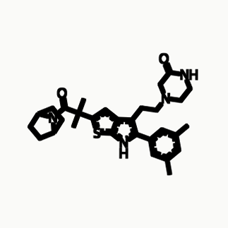 Cc1cc(C)cc(-c2[nH]c3sc(C(C)(C)C(=O)N4C5CCC4CC5)cc3c2CCN2CCNC(=O)C2)c1